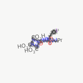 CC(C)CCCNC(=O)[C@@H](CCCNC(=O)CN1CCN(CC(=O)O)CCN(CC(=O)O)CCN(CC(=O)O)CC1)NC(=O)CCCc1ccc(I)cc1